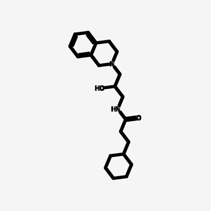 O=C(CCC1CCCCC1)NCC(O)CN1CCc2ccccc2C1